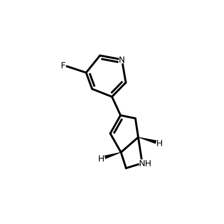 Fc1cncc(C2=C[C@H]3CN[C@H]3C2)c1